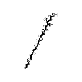 C=CCOCCOCCOCCOCCOCCNC(=O)CCS